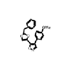 COc1ccc(-c2cnoc2C2=COC(Cc3ccccc3)O2)cc1